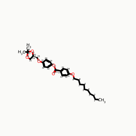 CCCCCCCCCCOc1ccc(C(=O)Oc2ccc(OC[C@H]3COC(C)(C)O3)cc2)cc1